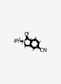 CC(C)N1Cc2cc(C#N)ccc2C1=O